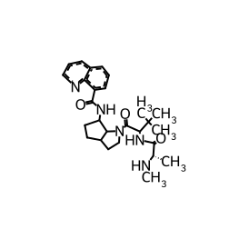 CN[C@@H](C)C(=O)N[C@H](C(=O)N1CCC2CCC(NC(=O)c3cccc4cccnc34)C21)C(C)(C)C